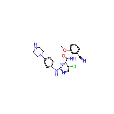 COc1cccc(C#N)c1NC(=O)c1nc(Nc2ccc(N3CCNCC3)cc2)ncc1Cl